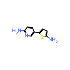 Nc1ccc(-c2ccc(N)s2)cn1